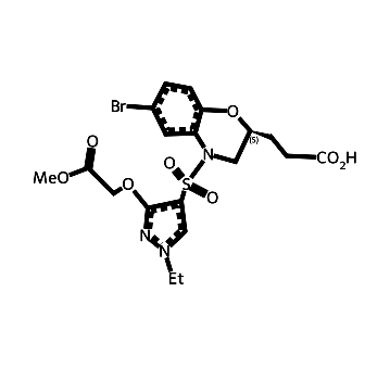 CCn1cc(S(=O)(=O)N2C[C@H](CCC(=O)O)Oc3ccc(Br)cc32)c(OCC(=O)OC)n1